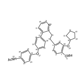 COc1ccc(CCc2ncccc2-c2ccc(Oc3ccc(NC(C)=O)cc3)cc2)cc1OC1CCCC1